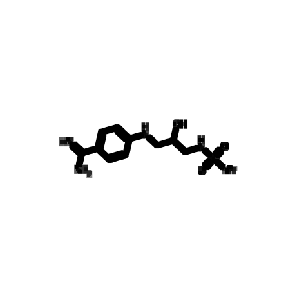 CCCS(=O)(=O)NCC(O)CNc1ccc(C(=N)N)cc1